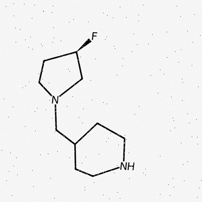 F[C@@H]1CCN(CC2CCNCC2)C1